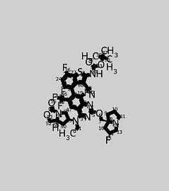 CCN(c1nc(OC[C@@]23CCCN2C[C@H](F)C3)nc2c(F)c(-c3ccc(F)c4sc(NC(=O)OC(C)(C)C)c(C#N)c34)c(C(F)(F)F)cc12)[C@H]1C[C@H]2COC(=O)N2C1